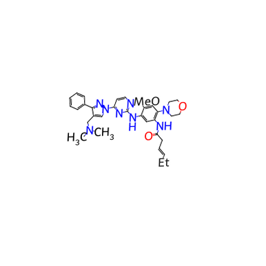 CCC=CCC(=O)Nc1cc(Nc2nccc(-n3cc(CN(C)C)c(-c4ccccc4)n3)n2)c(OC)cc1N1CCOCC1